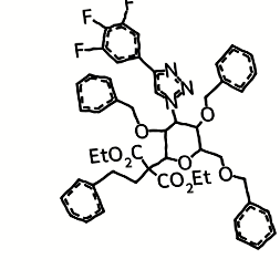 CCOC(=O)C(CCc1ccccc1)(C(=O)OCC)C1OC(COCc2ccccc2)C(OCc2ccccc2)C(n2cc(-c3cc(F)c(F)c(F)c3)nn2)C1OCc1ccccc1